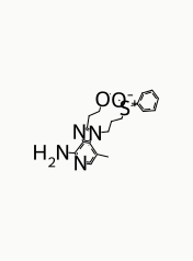 COCCc1nc2c(N)ncc(C)c2n1CCC[S+]([O-])c1ccccc1